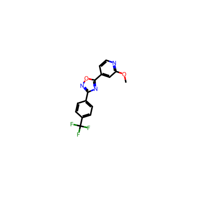 COc1cc(-c2nc(-c3ccc(C(F)(F)F)cc3)no2)ccn1